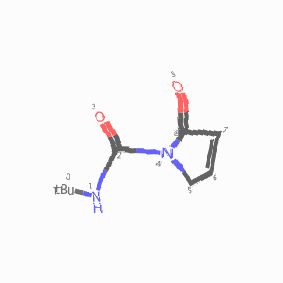 CC(C)(C)NC(=O)N1CC=CC1=O